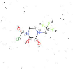 O=C1C(=O)N(C(=O)Cl)CCN1CC(F)(F)F